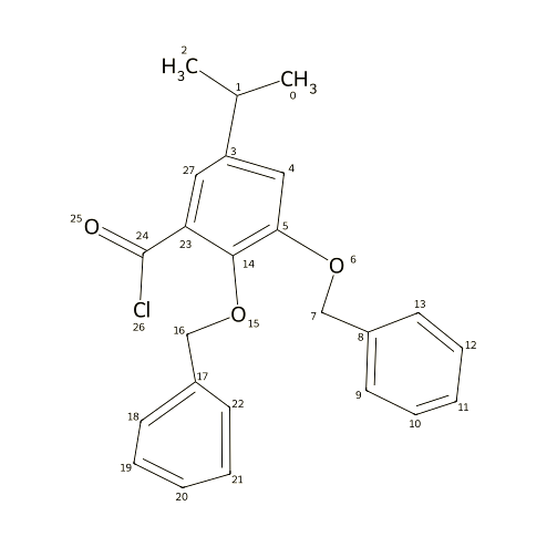 CC(C)c1cc(OCc2ccccc2)c(OCc2ccccc2)c(C(=O)Cl)c1